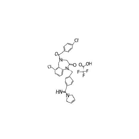 N=C(c1ccc(CN2C(=O)CN(C(=O)c3ccc(Cl)cc3)Cc3c(Cl)cccc32)cc1)N1CC=CC1.O=C(O)C(F)(F)F